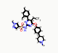 Cc1ccc(-c2nc(NS(=O)(=O)c3cnn(C)c3)nc(Oc3ccc(C4CCN(C)CC4)cc3)c2CC(F)(F)F)c(C)c1